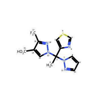 CC(c1cscn1)(n1cccn1)n1cc(C(=O)O)c(C(F)(F)F)n1